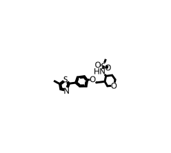 Cc1cnc(-c2ccc(OCC3COCCC3NS(C)(=O)=O)cc2)s1